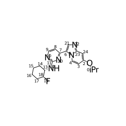 CC(C)Oc1ccn2c(-c3ccnc(N[C@H]4CCCC[C@@H]4F)n3)cnc2c1